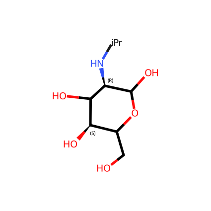 CC(C)N[C@H]1C(O)OC(CO)[C@@H](O)C1O